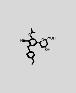 CCc1ccc(Cc2cc([C@H]3C[C@@H](O)C[C@@H](CO)O3)cc(OC(C)C)c2C#N)cc1